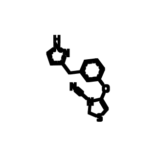 N#CN1CSC=C1Oc1cccc(Cc2cc[nH]n2)c1